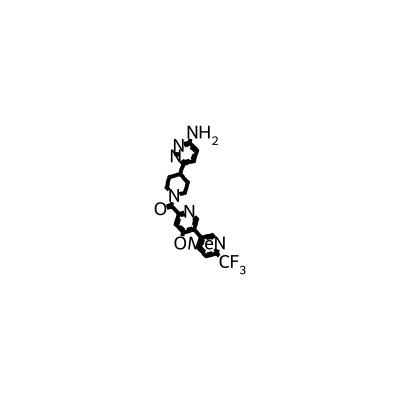 COc1cc(C(=O)N2CCC(c3ccc(N)nn3)CC2)ncc1-c1ccc(C(F)(F)F)nc1